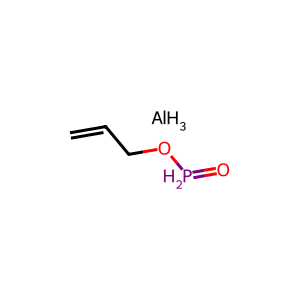 C=CCO[PH2]=O.[AlH3]